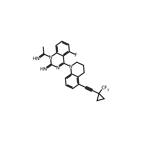 CC(=N)n1c(=N)nc(N2CCCc3c(C#CC4(C(F)(F)F)CC4)cccc32)c2c(F)cccc21